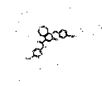 COc1ccc(Cn2c3c(c(C(=O)Nc4ccc(OC)nn4)cc2=O)CCOCC3)cc1